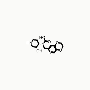 O=C(O)N(Cc1cc2c(cn1)OCCO2)[C@H]1CCNC[C@H]1O